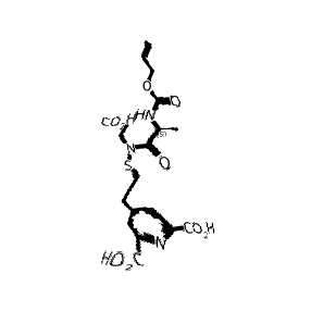 C=CCOC(=O)N[C@@H](C)C(=O)N(CC(=O)O)SCCc1cc(C(=O)O)nc(C(=O)O)c1